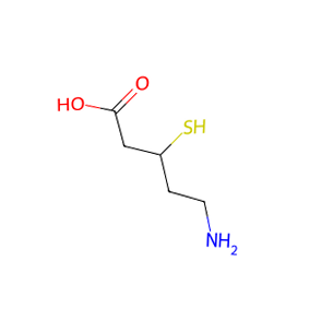 NCCC(S)CC(=O)O